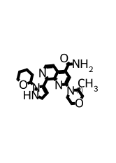 C[C@@H]1COCCN1c1cc(C(N)=O)c2ccnc(C3=CCNN3C3CCCCO3)c2n1